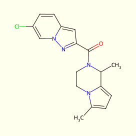 Cc1ccc2n1CCN(C(=O)c1cc3ccc(Cl)cn3n1)C2C